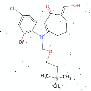 C[Si](C)(C)CCOCn1c2c(c3cc(Cl)cc(Br)c31)C(=O)C(=CO)CCC2